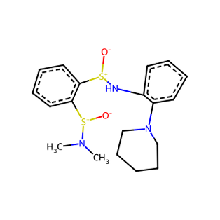 CN(C)[S+]([O-])c1ccccc1[S+]([O-])Nc1ccccc1N1CCCCC1